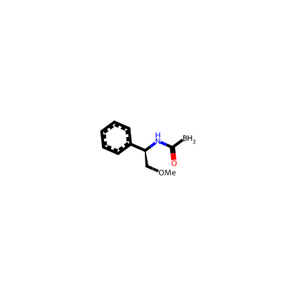 BC(=O)N[C@@H](COC)c1ccccc1